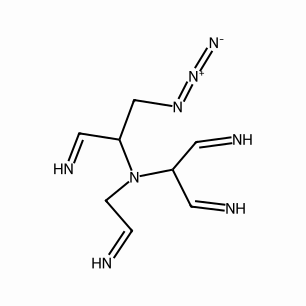 [N-]=[N+]=NCC(C=N)N(CC=N)C(C=N)C=N